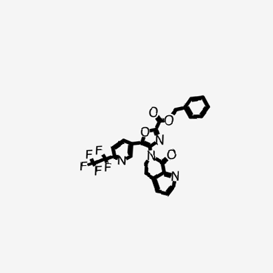 O=C(OCc1ccccc1)c1nc(N2CCc3cccnc3C2=O)c(-c2ccc(C(F)(F)C(F)(F)F)nc2)o1